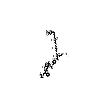 CC[C@@]1(OC(=O)OCc2ccc(NC(=O)[C@H](CCCCN)NC(=O)COCC(=O)NCCOCCNC(=O)CCC/C=C\c3cnc(S(C)(=O)=O)nc3)cc2)C(=O)OCc2c1cc1n(c2=O)Cc2c-1nc1ccccc1c2CCN(C(C)=O)C(C)C